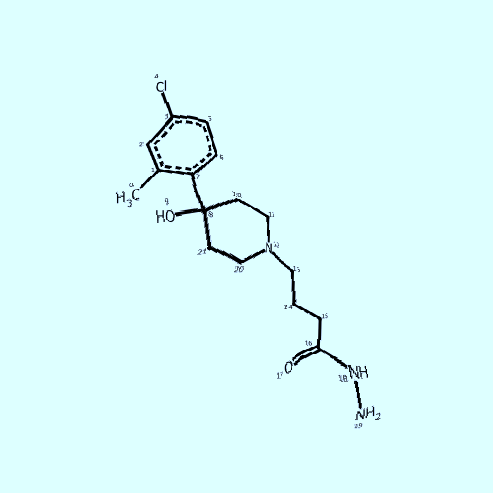 Cc1cc(Cl)ccc1C1(O)CCN(CCCC(=O)NN)CC1